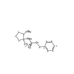 CC(C)(C)C1CCCC1(NC(=O)OCc1ccccc1)C(=O)O